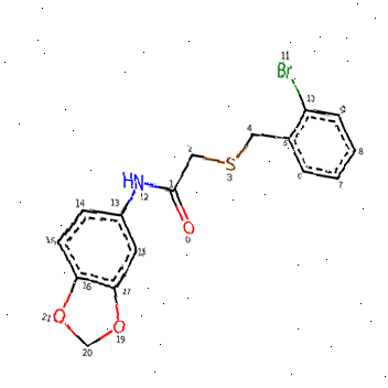 O=C(CSCc1ccccc1Br)Nc1ccc2c(c1)OCO2